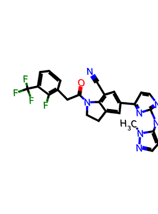 Cn1nccc1Nc1nccc(-c2cc(C#N)c3c(c2)CCN3C(=O)Cc2cccc(C(F)(F)F)c2F)n1